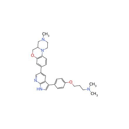 CN(C)CCCOc1ccc(-c2c[nH]c3ncc(-c4ccc5c(c4)OCC4CN(C)CCN54)cc23)cc1